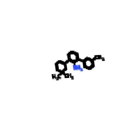 Cc1cccc(-c2cccc(C3=CC=CC(C)(C)C3)c2N)c1